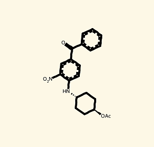 CC(=O)O[C@H]1CC[C@H](Nc2ccc(C(=O)c3ccccc3)cc2[N+](=O)[O-])CC1